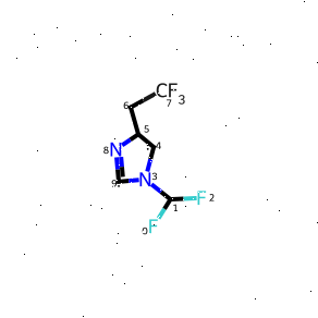 FC(F)N1[C]C(CC(F)(F)F)N=[C]1